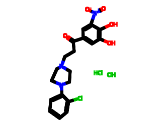 Cl.Cl.O=C(CCN1CCN(c2ccccc2Cl)CC1)c1cc(O)c(O)c([N+](=O)[O-])c1